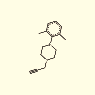 C#CCN1CCN(c2c(C)cccc2C)CC1